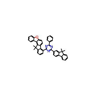 CC1(C)c2ccccc2-c2ccc(-c3nc(-c4ccccc4)nc(-c4cccc5c4-c4ccc6oc7ccccc7c6c4C5(C)C)n3)cc21